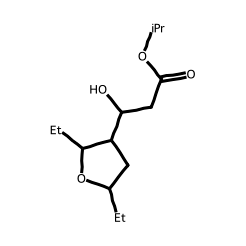 CCC1CC(C(O)CC(=O)OC(C)C)C(CC)O1